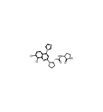 O=C(C[C@@H]1CCCN1c1cc(-n2ccnc2)c2ccc(Cl)c(Cl)c2n1)NC1CCNC1=O